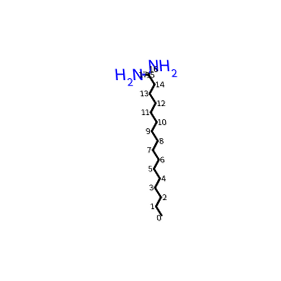 CCCCCCCCCCCCCCCC(N)N